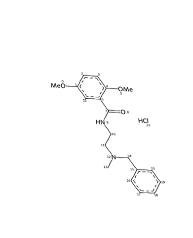 COc1ccc(OC)c(C(=O)NCCN(C)Cc2ccccc2)c1.Cl